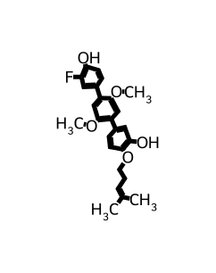 COc1cc(-c2ccc(O)c(F)c2)c(OC)cc1-c1ccc(OCCC=C(C)C)c(O)c1